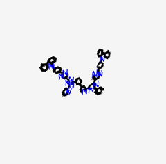 c1ccc(-c2nc(-c3cnc(-c4ccc(-n5c6ccccc6c6ccccc65)cc4)nc3)cc(-c3cc(-c4cccc(-c5nc(-c6cnc(-c7ccc(-n8c9ccccc9c9ccccc98)cc7)nc6)nc(-c6ccccn6)n5)c4)ccn3)n2)cc1